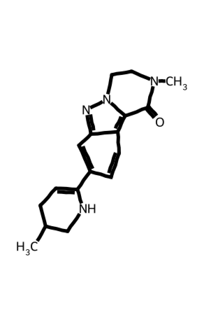 CC1CC=C(c2ccc3c4n(nc3c2)CCN(C)C4=O)NC1